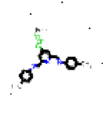 Cc1ccc(N=Cc2cc(Cl)cc(C=Nc3ccc(C)cc3)n2)cc1.[Cl-].[Cl-].[Cl-].[Fe+3]